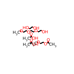 CC(=O)O.CC(=O)O.COCCOC(C)=O.COCCOCCOCCO.OCCO